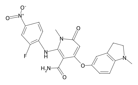 CN1CCc2cc(Oc3cc(=O)n(C)c(Nc4ccc([N+](=O)[O-])cc4F)c3C(N)=O)ccc21